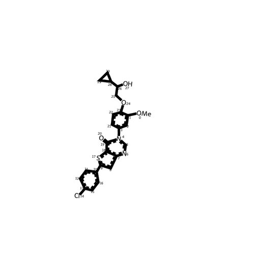 COc1cc(-n2cnc3cc(-c4ccc(Cl)cc4)sc3c2=O)ccc1OCC(O)C1CC1